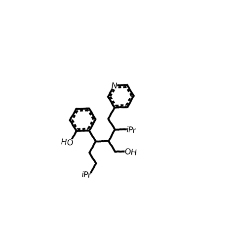 CC(C)CCC(c1ccccc1O)C(CO)C(Cc1cccnc1)C(C)C